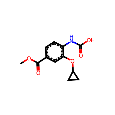 COC(=O)c1ccc(NC(=O)O)c(OC2CC2)c1